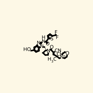 CC(C)(C=C(C#N)C(=O)N1CCC[C@@H]1Cn1c(NC(=O)c2ccc(C(F)F)s2)nc2cc(CO)ccc21)CN1CCOCC1